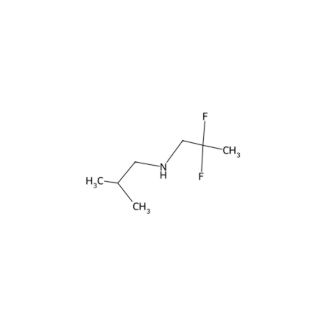 CC(C)CNCC(C)(F)F